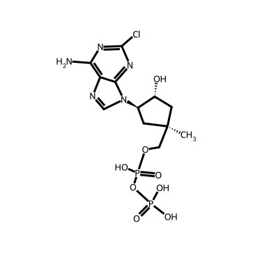 C[C@@]1(COP(=O)(O)OP(=O)(O)O)C[C@@H](O)[C@H](n2cnc3c(N)nc(Cl)nc32)C1